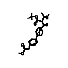 CN=C(C)C(C(=O)OC(C)(C)C)C(=O)C12CCC(c3ccc(CC(=O)OC)cc3)(CC1)OC2